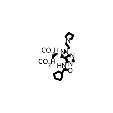 O=C(Nc1ncnc2c1cnn2CCN1CCCC1)C1CCCCC1.O=C(O)C=CC(=O)O